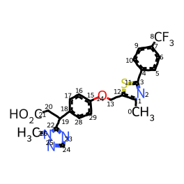 Cc1nc(-c2ccc(C(F)(F)F)cc2)sc1COc1ccc(C(CC(=O)O)c2ncnn2C)cc1